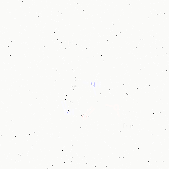 CC(C)(C)OC(=O)N[C@@H]1C(=N)CCCC1(F)F